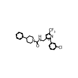 O=C(NCc1cc(C(F)(F)F)nn1-c1cccc(Cl)c1)N1CCC(c2ccccc2)CC1